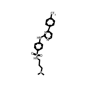 CN(C)CCCNS(=O)(=O)c1ccc(Nc2nccc(-c3ccc(C(F)(F)F)cc3)n2)cc1